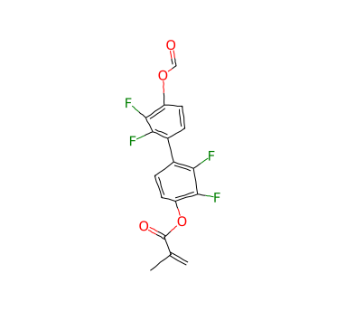 C=C(C)C(=O)Oc1ccc(-c2ccc(OC=O)c(F)c2F)c(F)c1F